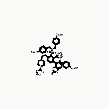 COc1ccc(CN(Cc2ccc(OC)cc2)S(=O)(=O)c2c(CCC3CCN(C(=O)OC(C)(C)C)CC3)ccc(-c3cccc4sc(C)nc34)c2-c2nnnn2Cc2ccc(OC)cc2)cc1